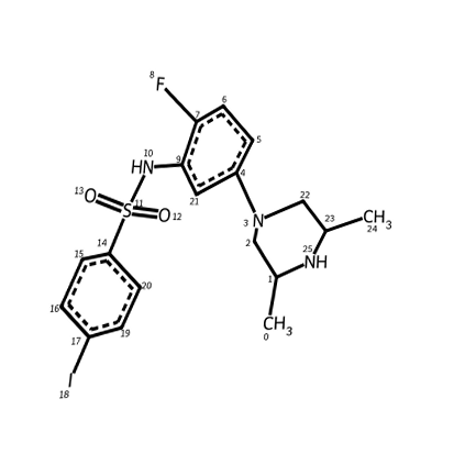 CC1CN(c2ccc(F)c(NS(=O)(=O)c3ccc(I)cc3)c2)CC(C)N1